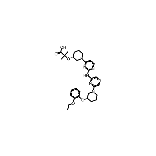 CCOc1ccccc1O[C@@H]1CCCN(c2cncc(Nc3nccc(N4CCC[C@@H](OC(C)(C)C(=O)O)C4)n3)n2)C1